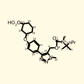 CCCC(C)(C)N(C)C(=O)OCc1c(-c2ccc(OC3CCCC(C(=O)O)C3)cc2)nnn1C